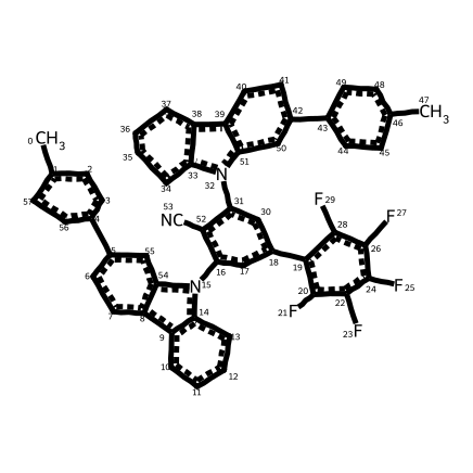 Cc1ccc(-c2ccc3c4ccccc4n(-c4cc(-c5c(F)c(F)c(F)c(F)c5F)cc(-n5c6ccccc6c6ccc(-c7ccc(C)cc7)cc65)c4C#N)c3c2)cc1